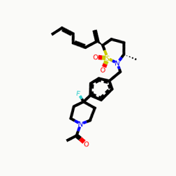 C=C(/C=C\C=C/C)[C@H]1CC[C@H](C)N(Cc2ccc(C3(F)CCN(C(C)=O)CC3)cc2)S1(=O)=O